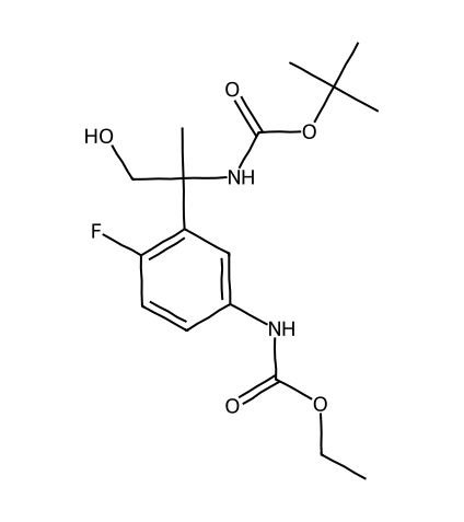 CCOC(=O)Nc1ccc(F)c(C(C)(CO)NC(=O)OC(C)(C)C)c1